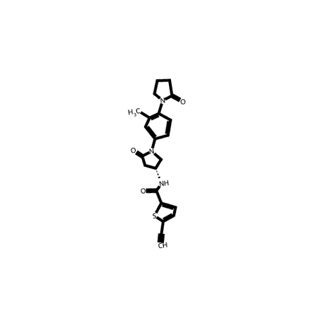 C#Cc1ccc(C(=O)N[C@@H]2CC(=O)N(c3ccc(N4CCCC4=O)c(C)c3)C2)s1